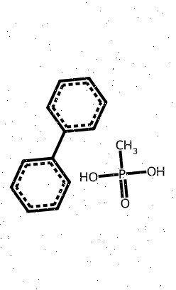 CP(=O)(O)O.c1ccc(-c2ccccc2)cc1